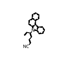 C=C/C(=C\C=C\C#N)n1c2ccccc2c2c3ccccc3ccc21